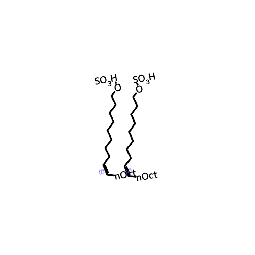 CCCCCCCC/C=C\CCCCCCCCOS(=O)(=O)O.CCCCCCCC/C=C\CCCCCCCCOS(=O)(=O)O